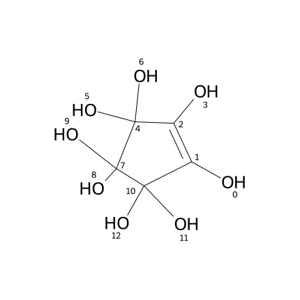 OC1=C(O)C(O)(O)C(O)(O)C1(O)O